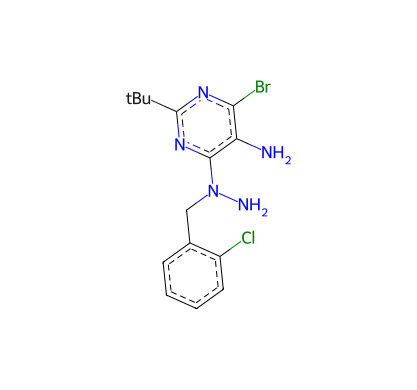 CC(C)(C)c1nc(Br)c(N)c(N(N)Cc2ccccc2Cl)n1